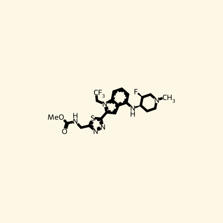 COC(=O)NCc1nnc(-c2cc3c(N[C@@H]4CCN(C)C[C@@H]4F)cccc3n2CC(F)(F)F)s1